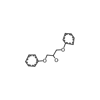 [O]C(COc1ccccc1)COc1ccccc1